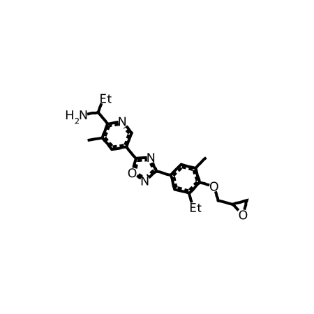 CCc1cc(-c2noc(-c3cnc(C(N)CC)c(C)c3)n2)cc(C)c1OCC1CO1